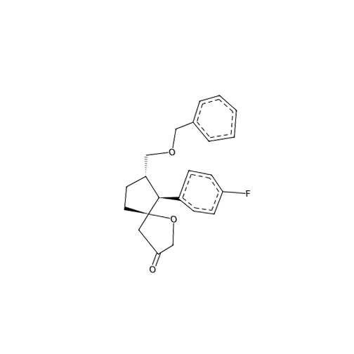 O=C1CO[C@]2(CC[C@H](COCc3ccccc3)[C@H]2c2ccc(F)cc2)C1